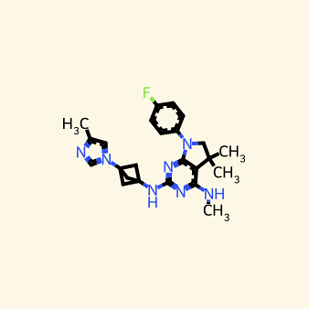 CNc1nc(NC23CC(n4cnc(C)c4)(C2)C3)nc2c1C(C)(C)CN2c1ccc(F)cc1